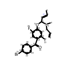 C=CCN(C)C(/C=C/C)Oc1cc(F)c(C(=O)c2ccc(Br)cc2)cc1F